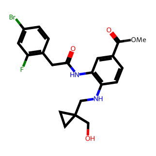 COC(=O)c1ccc(NCC2(CO)CC2)c(NC(=O)Cc2ccc(Br)cc2F)c1